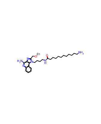 CCOCc1nc2c(N)nc3ccccc3c2n1CCCCNC(=O)CCCCCCCCCCCN